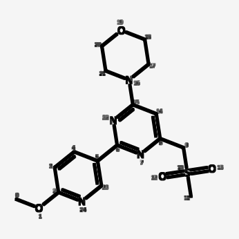 COc1ccc(-c2nc(CS(C)(=O)=O)cc(N3CCOCC3)n2)cn1